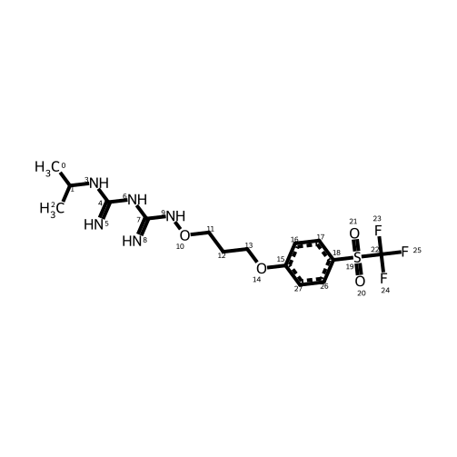 CC(C)NC(=N)NC(=N)NOCCCOc1ccc(S(=O)(=O)C(F)(F)F)cc1